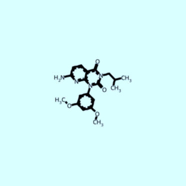 COc1cc(OC)cc(-n2c(=O)n(CC(C)C)c(=O)c3ccc(N)nc32)c1